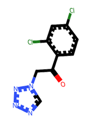 O=C(Cn1cnnn1)c1ccc(Cl)cc1Cl